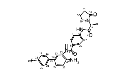 C[C@@H](C(=O)Nc1ccc(C(=O)Nc2cc(-c3ccc(F)cc3)ccc2N)cc1)N1CCCC1=O